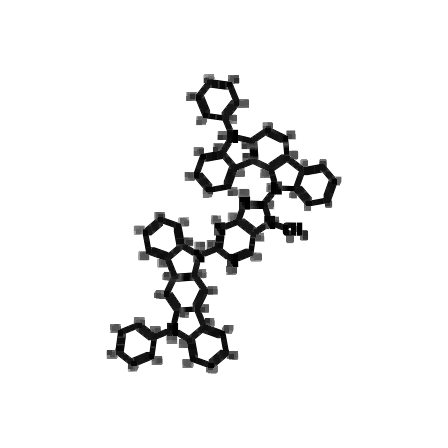 Cn1c(-n2c3ccccc3c3ccc4c(c5ccccc5n4-c4ccccc4)c32)nc2nc(-n3c4ccccc4c4cc5c(cc43)c3ccccc3n5-c3ccccc3)ncc21